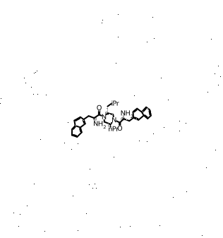 CCC[C@H]1CN(C(=O)[C@H](N)Cc2ccc3ccccc3c2)[C@H](CC(C)C)CN1C(=O)[C@H](N)Cc1ccc2ccccc2c1